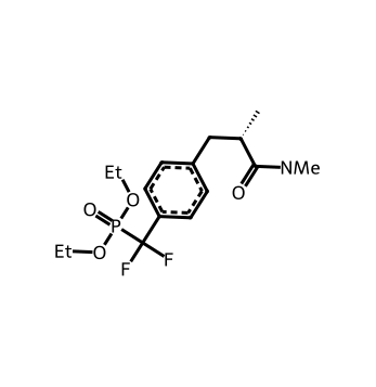 CCOP(=O)(OCC)C(F)(F)c1ccc(C[C@H](C)C(=O)NC)cc1